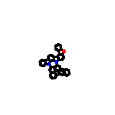 c1ccc(-c2cccc(-n3c4ccc5oc6ccccc6c5c4c4ccc5c6ccccc6n(-c6cc7c8c(cccc8c6)-c6ccccc6-7)c5c43)c2)cc1